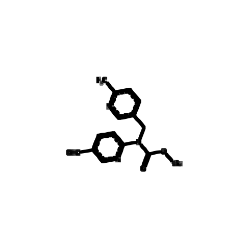 CC(C)(C)OC(=O)N(Cc1ccc(C(F)(F)F)nc1)c1ccc(C=O)cn1